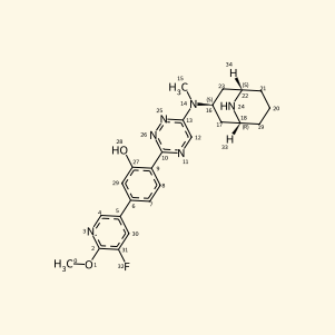 COc1ncc(-c2ccc(-c3ncc(N(C)[C@@H]4C[C@H]5CCC[C@@H](C4)N5)nn3)c(O)c2)cc1F